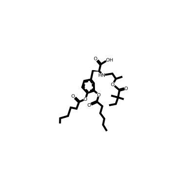 CCCCCC(=O)Oc1ccc(C[C@H](NCC(C)OC(=O)C(C)(C)CC)C(=O)O)cc1OC(=O)CCCCC